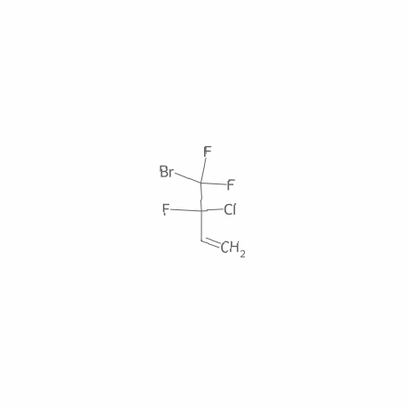 C=CC(F)(Cl)C(F)(F)Br